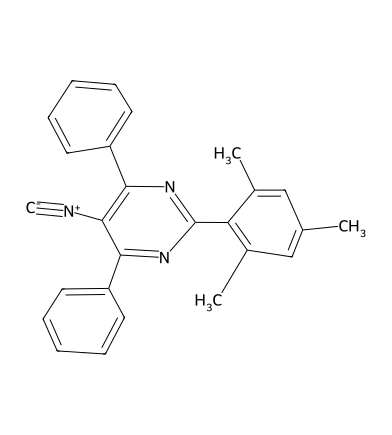 [C-]#[N+]c1c(-c2ccccc2)nc(-c2c(C)cc(C)cc2C)nc1-c1ccccc1